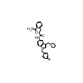 NC(=O)c1ccccc1C[CH]C(=O)Nc1ccc2c(c1)c(CN1CCCC1)cn2Cc1ccc(F)cc1